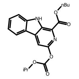 CCCCOC(=O)c1nc(OC(=O)OC(C)C)cc2c1[nH]c1ccccc12